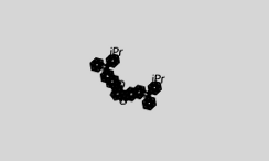 CC(C)c1cccc(N(c2ccccc2)c2ccc3cc4c(cc3c2)oc2c4ccc3oc4cc5cc(N(c6ccccc6)c6cccc(C(C)C)c6)ccc5cc4c32)c1